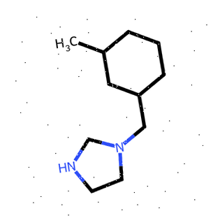 CC1CCCC(CN2CCNC2)C1